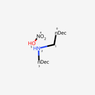 CCCCCCCCCCCNCCCCCCCCCC.O=[N+]([O-])O